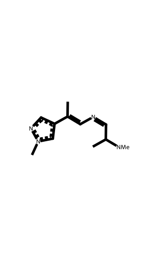 CNC(C)/C=N\C=C(/C)c1cnn(C)c1